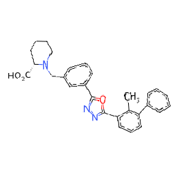 Cc1c(-c2ccccc2)cccc1-c1nnc(-c2cccc(CN3CCCC[C@H]3C(=O)O)c2)o1